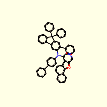 c1ccc(-c2ccc(N(c3cc4c(cc3-c3ccccc3)C(c3ccccc3)(c3ccccc3)c3ccccc3-4)c3cncc4oc5c6ccccc6ccc5c34)cc2)cc1